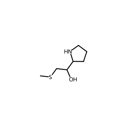 CSCC(O)C1CCCN1